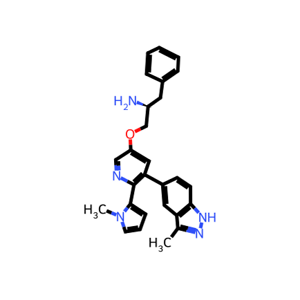 Cc1n[nH]c2ccc(-c3cc(OC[C@@H](N)Cc4ccccc4)cnc3-c3cccn3C)cc12